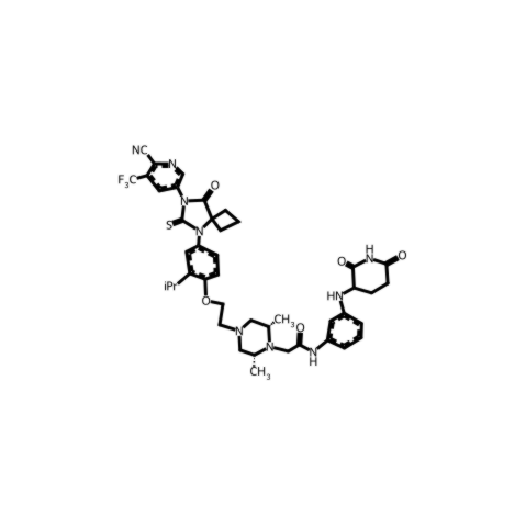 CC(C)c1cc(N2C(=S)N(c3cnc(C#N)c(C(F)(F)F)c3)C(=O)C23CCC3)ccc1OCCN1C[C@@H](C)N(CC(=O)Nc2cccc(NC3CCC(=O)NC3=O)c2)[C@@H](C)C1